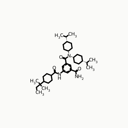 CCC(C)(C)C1CCC(C(=O)Nc2cc(C(N)=O)cc(C(=O)N([C@H]3CC[C@@H](C(C)C)CC3)[C@H]3CC[C@@H](C(C)C)CC3)c2)CC1